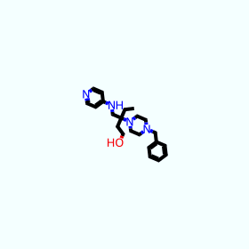 CCC(CCO)(CNc1ccncc1)N1CCN(Cc2ccccc2)CC1